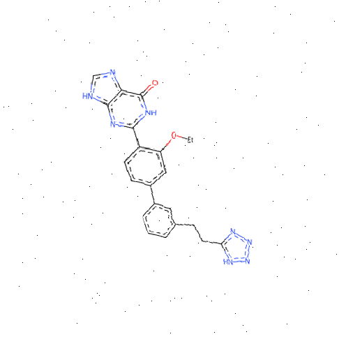 CCOc1cc(-c2cccc(CCc3nnn[nH]3)c2)ccc1-c1nc2[nH]cnc2c(=O)[nH]1